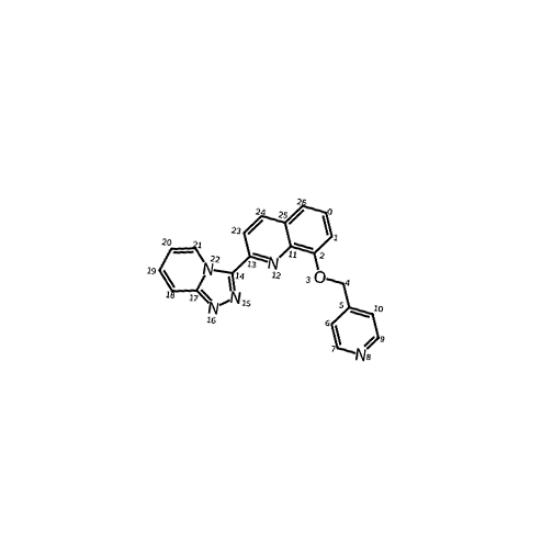 c1cc(OCc2ccncc2)c2nc(-c3nnc4ccccn34)ccc2c1